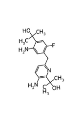 CC(C)(O)c1cc(F)c(Cc2ccc(N)c(C(C)(C)O)n2)cc1N